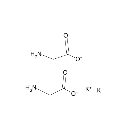 NCC(=O)[O-].NCC(=O)[O-].[K+].[K+]